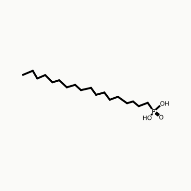 CCCCCCCCCCCCCCCCCCP(=O)(O)O